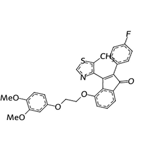 COc1ccc(OCCOc2cccc3c2C(c2ncsc2C)=C(c2ccc(F)cc2)C3=O)cc1OC